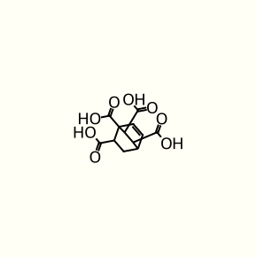 O=C(O)C1C2C=CC(C(=O)O)(C(C(=O)O)C2)C1C(=O)O